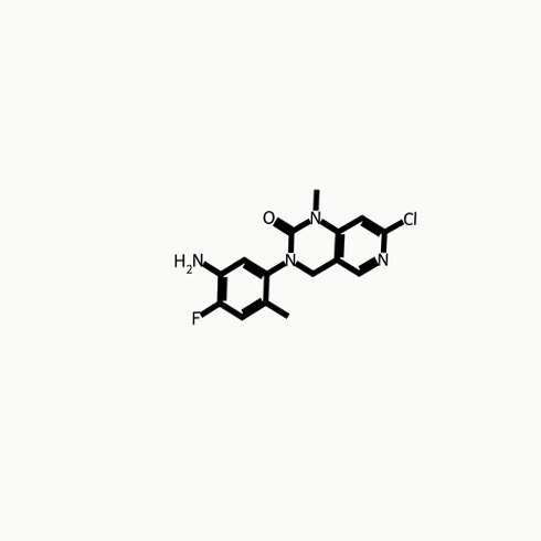 Cc1cc(F)c(N)cc1N1Cc2cnc(Cl)cc2N(C)C1=O